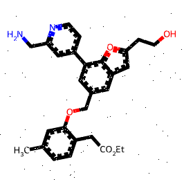 CCOC(=O)Cc1ccc(C)cc1OCc1cc(-c2ccnc(CN)c2)c2oc(CCO)cc2c1